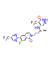 C#C[C@H](CCCn1ccc2cc(-c3ncc(C(F)(F)F)cn3)c(F)cc2c1=O)Nc1cn[nH]c(=O)c1C(F)(F)F